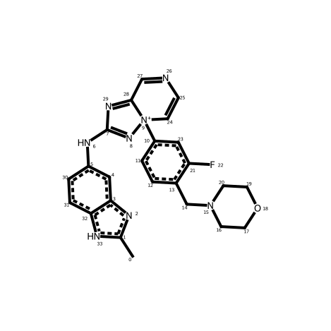 Cc1nc2cc(NC3=N[N+]4(c5ccc(CN6CCOCC6)c(F)c5)C=CN=CC4=N3)ccc2[nH]1